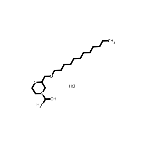 CCCCCCCCCCCCOCC1CN(C(C)O)CCO1.Cl